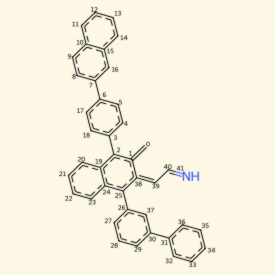 C=c1c(-c2ccc(-c3ccc4ccccc4c3)cc2)c2ccccc2c(-c2cccc(-c3ccccc3)c2)/c1=C/C=N